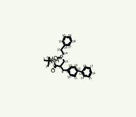 CC(C)(C)NC(=O)C(Cc1ccc(-c2ccccc2)cc1)CP(O)CCc1ccccc1